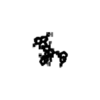 CCc1c(F)ccc2cc(O)cc(-c3ncc4c(N5C[C@H]6CC[C@@H](C5)C6C(=O)N(C)C)nc(OC[C@@]56CCCN5C[C@H](F)C6)nc4c3F)c12